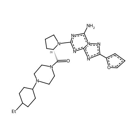 CCC1CCC(N2CCN(C(=O)[C@@H]3CCCN3c3nc(N)n4nc(-c5ccco5)nc4n3)CC2)CC1